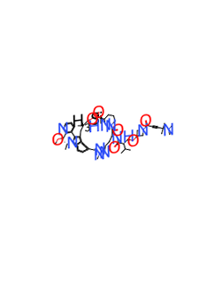 CCn1c(-c2cccnc2[C@H](C)OC)c2c3cc(ccc31)-c1nc(nn1C)C[C@H](NC(=O)[C@@H](COC1CN(C(=O)C#CC(C)(C)N(C)C)C1)C(C)C)C(=O)N1CCC[C@@]([SiH3])(N1)C(=O)OCC(C)(C)C2